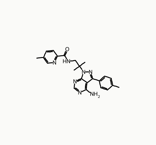 Cc1ccc(-c2nn(C(C)(C)CNC(=O)c3ccc(C)cn3)c3ncnc(N)c23)cc1